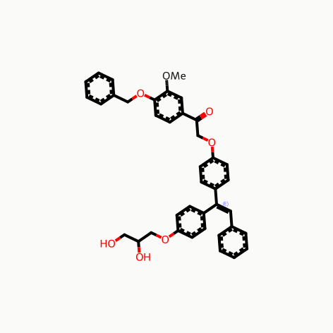 COc1cc(C(=O)COc2ccc(/C(=C/c3ccccc3)c3ccc(OCC(O)CO)cc3)cc2)ccc1OCc1ccccc1